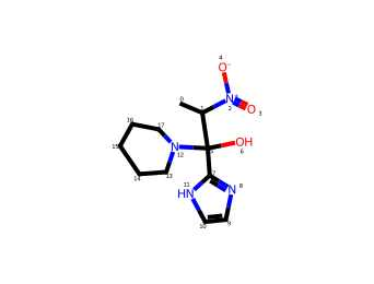 CC([N+](=O)[O-])C(O)(c1ncc[nH]1)N1CCCCC1